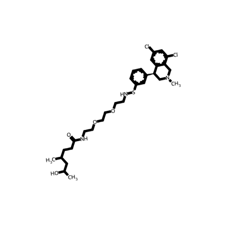 CC(O)CC(C)CCC(=O)NCCOCCOCCNSc1cccc([C@@H]2CN(C)Cc3c(Cl)cc(Cl)cc32)c1